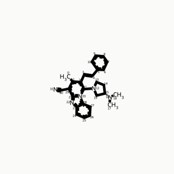 Cc1c(C=Cc2ccccc2)c(N2CC[C@H](N(C)C)C2)n2c(nc3ccccc32)c1C#N